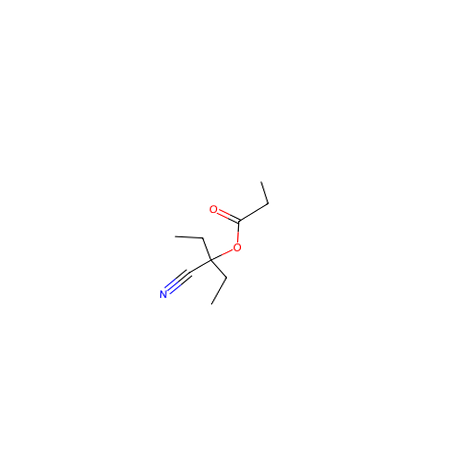 CCC(=O)OC(C#N)(CC)CC